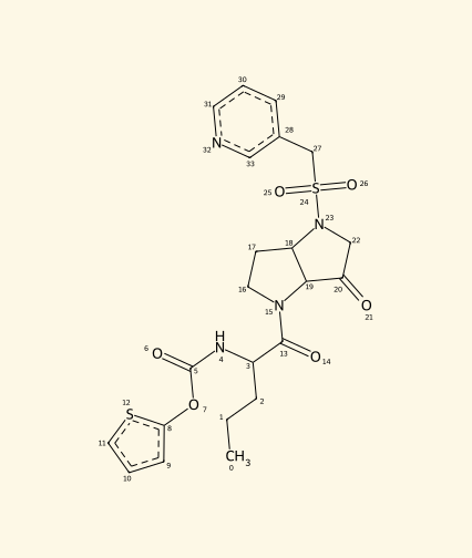 CCCC(NC(=O)Oc1cccs1)C(=O)N1CCC2C1C(=O)CN2S(=O)(=O)Cc1cccnc1